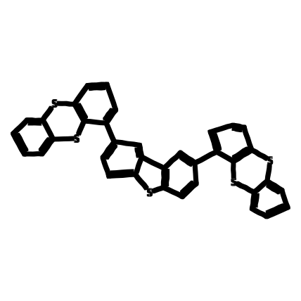 c1ccc2c(c1)Sc1cccc(-c3ccc4sc5ccc(-c6cccc7c6Sc6ccccc6S7)cc5c4c3)c1S2